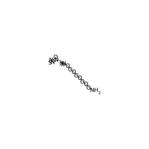 CSc1ncc2c(n1)CN(CCCc1cn(CCOCCOCCOCCOCCOCCOCCOCCOCCN)nn1)C2=O